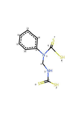 S=C(S)NCN(C(=S)S)c1ccccc1